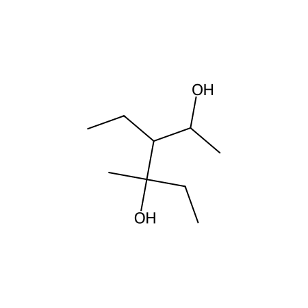 CCC(C(C)O)C(C)(O)CC